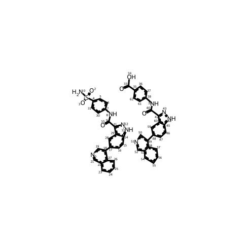 NS(=O)(=O)c1ccc(NC(=O)c2n[nH]c3ccc(-c4cncc5ccccc45)cc23)cc1.O=C(O)c1ccc(NC(=O)c2n[nH]c3ccc(-c4cncc5ccccc45)cc23)cc1